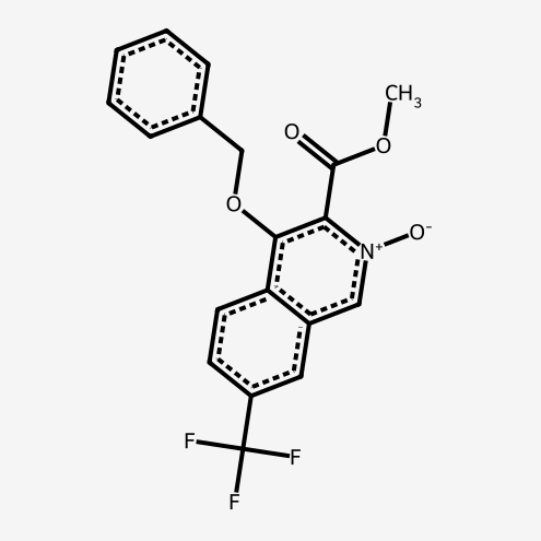 COC(=O)c1c(OCc2ccccc2)c2ccc(C(F)(F)F)cc2c[n+]1[O-]